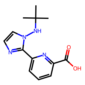 CC(C)(C)Nn1ccnc1-c1cccc(C(=O)O)n1